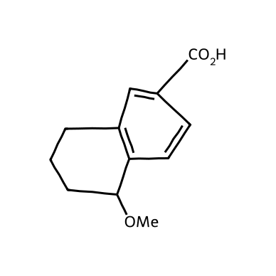 COC1CCCc2cc(C(=O)O)ccc21